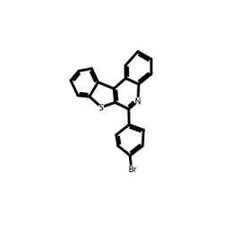 Brc1ccc(-c2nc3ccccc3c3c2sc2ccccc23)cc1